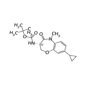 CN1C(=O)[C@@H](NC(=O)OC(C)(C)C)COc2cc(C3CC3)ccc21